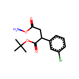 CC(C)(C)OC(=O)C(CC(=O)ON)c1cccc(Br)c1